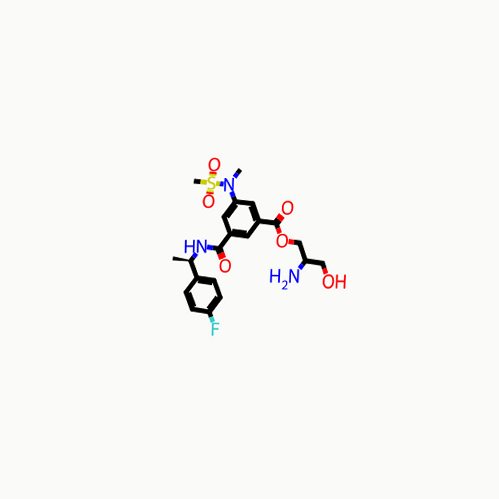 C[C@@H](NC(=O)c1cc(C(=O)OCC(N)CO)cc(N(C)S(C)(=O)=O)c1)c1ccc(F)cc1